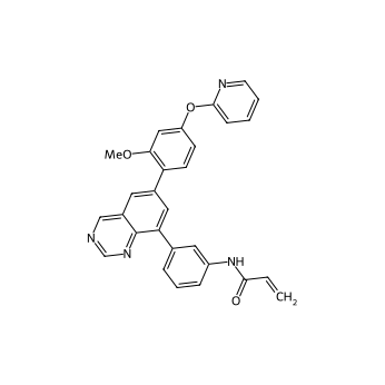 C=CC(=O)Nc1cccc(-c2cc(-c3ccc(Oc4ccccn4)cc3OC)cc3cncnc23)c1